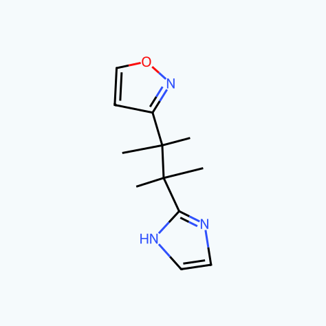 CC(C)(c1ccon1)C(C)(C)c1ncc[nH]1